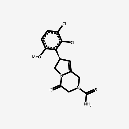 COc1ccc(Cl)c(Cl)c1[C@H]1C=C2CN(C(N)=S)CC(=O)N2C1